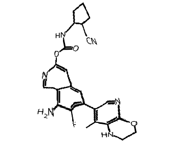 Cc1c(-c2cc3cc(OC(=O)NC4CCCC4C#N)ncc3c(N)c2F)cnc2c1NCCO2